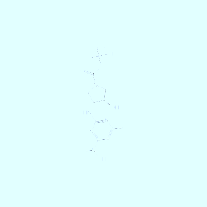 Cc1cc(N(C)C)nc(N[C@@H]2CN(C(=O)OC(C)(C)C)C[C@H]2O)n1